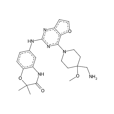 COC1(CN)CCN(c2nc(Nc3ccc4c(c3)NC(=O)C(C)(C)O4)nc3ccoc23)CC1